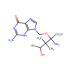 CCC(O)C(C)(C)C(N)(OCn1cnc2c(=O)nc(N)[nH]c21)C(=O)O